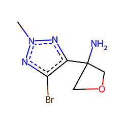 Cn1nc(Br)c(C2(N)COC2)n1